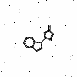 C1=CC(c2c[nH]cn2)c2ccccc21